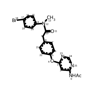 CC(=O)Nc1cc(Oc2ccc(CC(=O)N(C)c3ccc(Br)cc3)cc2)ncn1